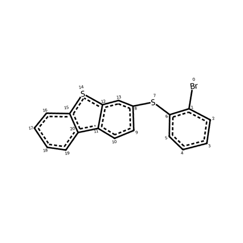 Brc1ccccc1Sc1ccc2c(c1)sc1ccccc12